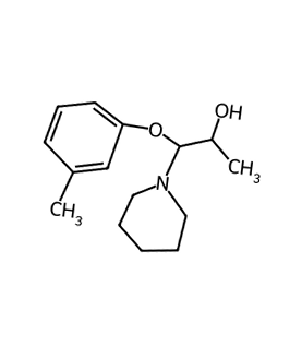 Cc1cccc(OC(C(C)O)N2CCCCC2)c1